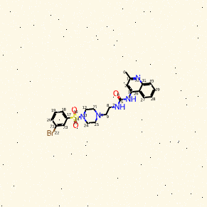 Cc1cc(NC(=O)NCCN2CCN(S(=O)(=O)c3cccc(Br)c3)CC2)c2ccccc2n1